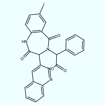 O=C(O)C(c1ccccc1)N1C(=O)c2cc(I)ccc2NC(=O)C1c1cnc2ccccc2c1